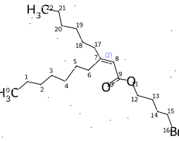 CCCCCCC/C(=C\C(=O)OCCCCBr)CCCCCC